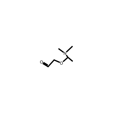 CC(OCC=O)N(C)C